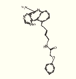 Nc1nc2cccc(CCCCNC(=O)COc3ccccc3)c2c2[nH]cnc12